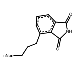 CCCCCCCCCCCCc1cccc2c1C(=O)NC2=O